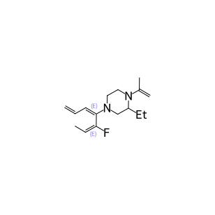 C=C/C=C(\C(F)=C/C)N1CCN(C(=C)C)C(CC)C1